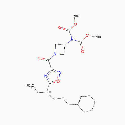 CC(C)(C)OC(=O)N(C(=O)OC(C)(C)C)C1CN(C(=O)c2noc([C@H](CCCC3CCCCC3)CC(=O)O)n2)C1